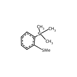 CSc1ccccc1[Si](C)(C)C